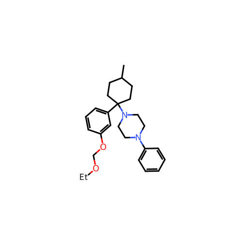 CCOCOc1cccc(C2(N3CCN(c4ccccc4)CC3)CCC(C)CC2)c1